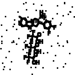 Cc1cc2c(cn1)nc1n2C[C@H](N)[C@@H](c2cc(F)c(F)cc2F)C1.O=C(O)C(F)(F)F.O=C(O)C(F)(F)F.O=C(O)C(F)(F)F